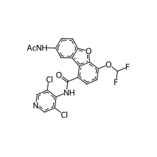 CC(=O)Nc1ccc2oc3c(OC(F)F)ccc(C(=O)Nc4c(Cl)cncc4Cl)c3c2c1